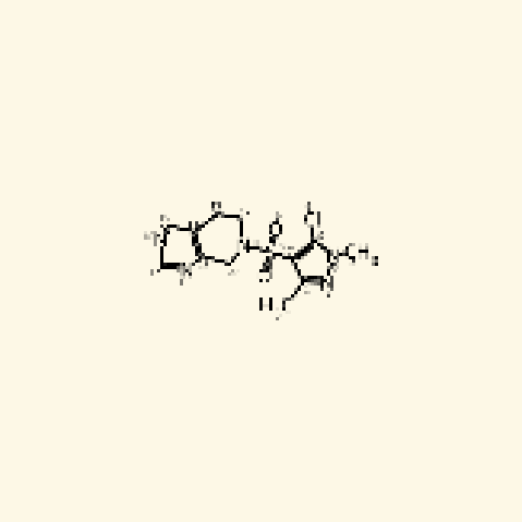 Cc1nn(C)c(Cl)c1S(=O)(=O)N1CCc2[c]ncnc2C1